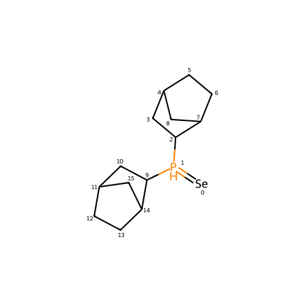 [Se]=[PH](C1CC2CCC1C2)C1CC2CCC1C2